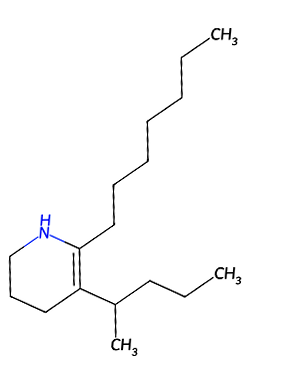 CCCCCCCC1=C(C(C)CCC)CCCN1